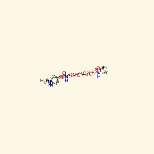 CC(C)C(=O)[C@@H](NC(=O)CCOCCOCCOCCOCCNC(=O)OCC1C2CCc3nnn(C)c3CCC21)C(C)C